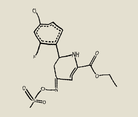 CCOC(=O)C1=CC(=NOS(C)(=O)=O)CC(c2ccc(Cl)cc2F)N1